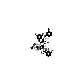 CCCC(CCC)S(=O)(=O)C[C@H](NC(=O)c1cccc(Cl)c1)C(=O)N[C@@H](Cc1cc(F)cc(F)c1)[C@H](O)CNCc1cccc(CC)c1